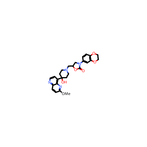 COc1ccc2nccc(C3(O)CCN(CC4CN(c5ccc6c(c5)OCCO6)C(=O)O4)CC3)c2n1